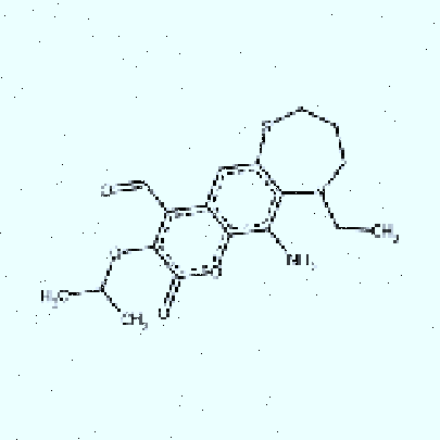 CCN1CCCSc2cc3c(C=O)c(OC(C)C)c(=O)oc3c(N)c21